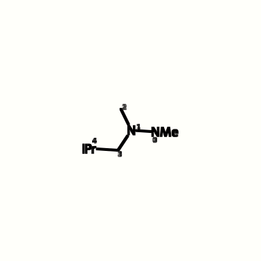 CNN(C)CC(C)C